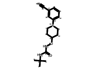 CC(C)(C)NC(=O)NOC1CCN(c2cccc(C#N)c2)CC1